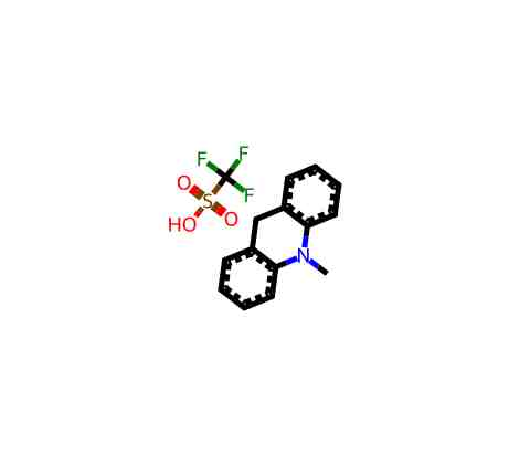 CN1c2ccccc2Cc2ccccc21.O=S(=O)(O)C(F)(F)F